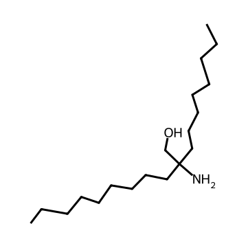 CCCCCCCCCC(N)(CO)CCCCCCCC